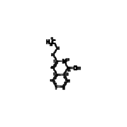 CCCC1=Cc2ccccc2C(=O)[N]1